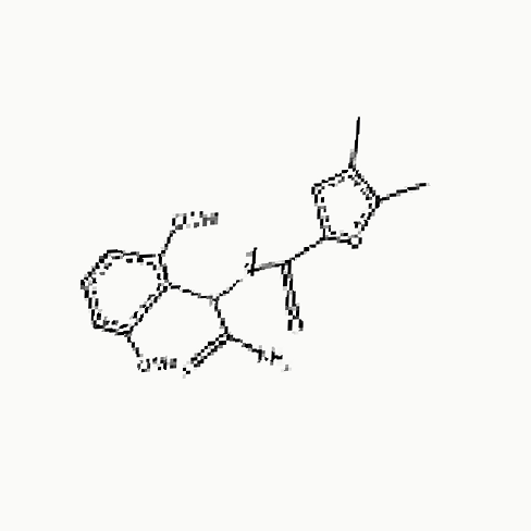 COc1cccc(OC)c1N(NC(=O)c1cc(C)c(C)o1)C(N)=S